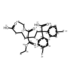 CCOC(=O)C(CCCC(=O)O)(CCC(C(=O)O)(c1ccc(F)cc1)c1ccc(F)cc1)C(=O)OCC